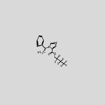 CC(c1ccccc1)n1cncc1C(=O)OCC(F)(F)C(F)(F)C(F)(F)F